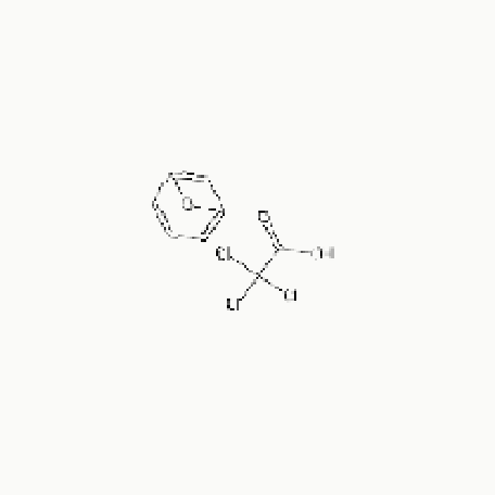 O=C(O)C(Cl)(Cl)Cl.c1cc2cc(c1)O2